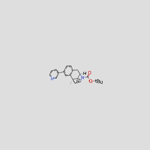 C[C@@H]1[C@H]2Cc3ccc(-c4cccnc4)cc3[C@]1(C)CCN2C(=O)OC(C)(C)C